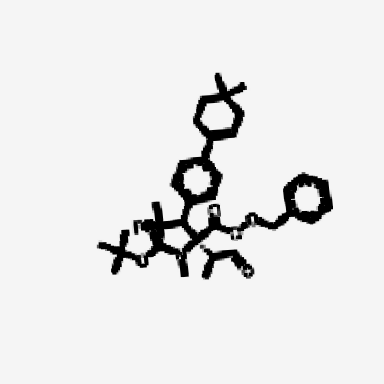 CC(C=O)[C@@](C(=O)OOCc1ccccc1)(C(c1ccc(C2=CCC(C)(C)CC2)cc1)C(C)(C)F)N(C)C(=O)OC(C)(C)C